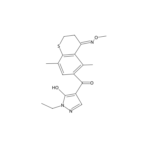 CCn1ncc(C(=O)c2cc(C)c3c(c2C)C(=NOC)CCS3)c1O